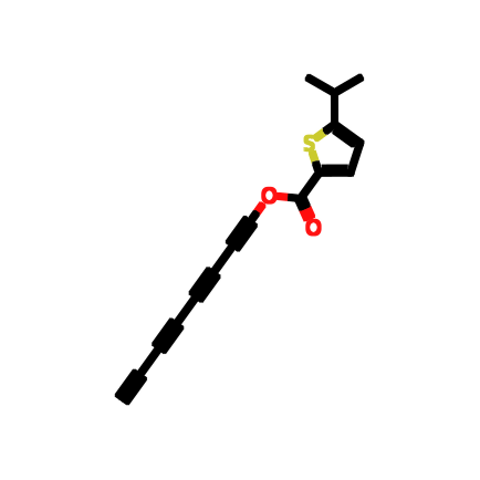 C#CC#CC#CC#COC(=O)c1ccc(C(C)C)s1